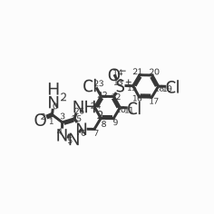 NC(=O)c1nnn(Cc2cc(Cl)c([S+]([O-])c3ccc(Cl)cc3)c(Cl)c2)c1N